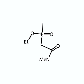 CCOP(C)(=O)CC(=O)NC